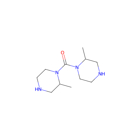 CC1CNCCN1C(=O)N1CCNCC1C